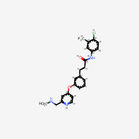 O=C(O)NCc1cc(Oc2cccc(CCC(=O)Nc3ccc(Cl)c(C(F)(F)F)c3)c2)ccn1